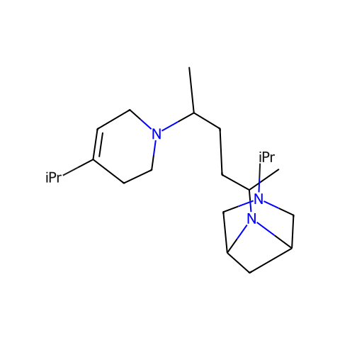 CC(C)C1=CCN(C(C)CCC(C)N2C3CC2CN(C(C)C)C3)CC1